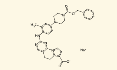 Cc1cc(N2CCN(C(=O)OCc3ccccc3)CC2)ccc1Nc1ncc2c(n1)-n1ccc(C(=O)[O-])c1CC2.[Na+]